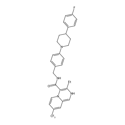 CCC1=C(C(=O)NCc2ccc(N3CCC(c4ccc(F)cc4)CC3)cc2)N2C=CC(C(F)(F)F)=CC2=CN1